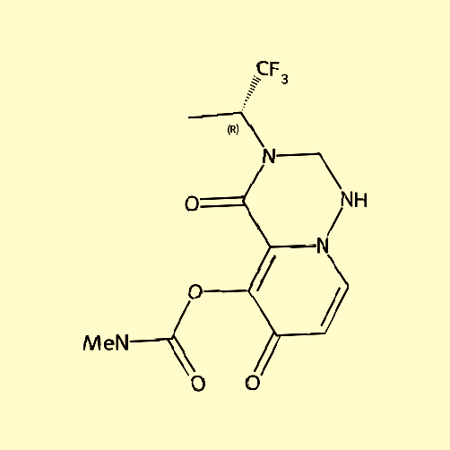 CNC(=O)Oc1c2n(ccc1=O)NCN([C@H](C)C(F)(F)F)C2=O